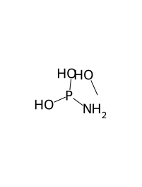 CO.NP(O)O